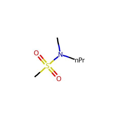 CCCN(C)S(C)(=O)=O